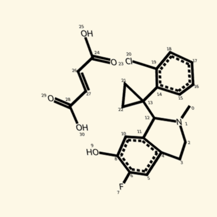 CN1CCc2cc(F)c(O)cc2C1C1(c2ccccc2Cl)CC1.O=C(O)C=CC(=O)O